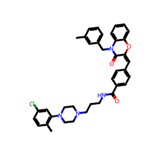 Cc1cccc(CN2C(=O)/C(=C\c3ccc(C(=O)NCCCN4CCN(c5cc(Cl)ccc5C)CC4)cc3)Oc3ccccc32)c1